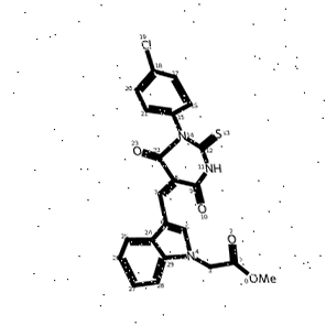 COC(=O)Cn1cc(/C=C2\C(=O)NC(=S)N(c3ccc(Cl)cc3)C2=O)c2ccccc21